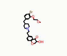 COCCOc1cc(CC2CCN(CCc3ccc4c(c3)C(=O)C(O)CO4)CC2)ccc1Br